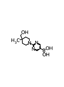 CC1(CO)CCN(c2ncc(B(O)O)cn2)CC1